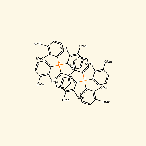 COc1cccc([PH](c2ccccc2-c2ccccc2[PH](c2cccc(OC)c2OC)(c2cccc(OC)c2OC)c2cccc(OC)c2OC)(c2cccc(OC)c2OC)c2cccc(OC)c2OC)c1OC